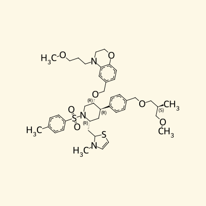 COCCCN1CCOc2ccc(CO[C@H]3CN(S(=O)(=O)c4ccc(C)cc4)[C@@H](CC4SC=CN4C)C[C@@H]3c3ccc(COC[C@@H](C)COC)cc3)cc21